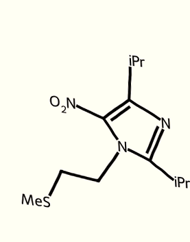 CSCCn1c(C(C)C)nc(C(C)C)c1[N+](=O)[O-]